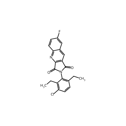 CCc1ccc(Cl)c(CC)c1N1C(=O)c2cc3cc(F)ccc3nc2C1=O